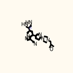 CN/C=C(\C=N)c1cc(-c2ccc(N3CCN(CC4COC4)CC3)nc2)c2c(C#N)cnn2c1